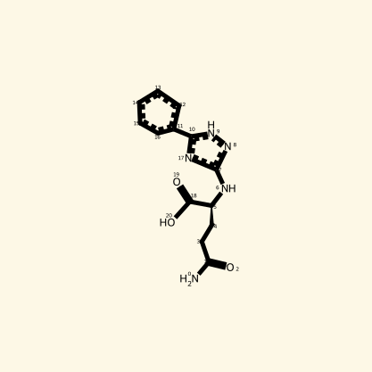 NC(=O)CC[C@H](Nc1n[nH]c(-c2ccccc2)n1)C(=O)O